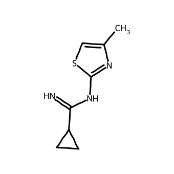 Cc1csc(NC(=N)C2CC2)n1